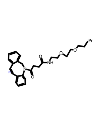 CC(C)CCOCCOCCNC(=O)CCC(=O)N1Cc2ccccc2/C=C\c2ccccc21